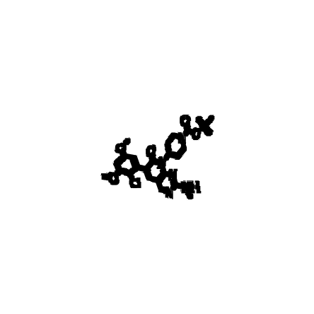 CNc1ncc2cc(-c3cc(OC)cc(OC)c3Cl)c(=O)n(C3CCN(C(=O)OC(C)(C)C)CC3)c2n1